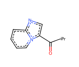 CC(C)C(=O)c1cnc2ccccn12